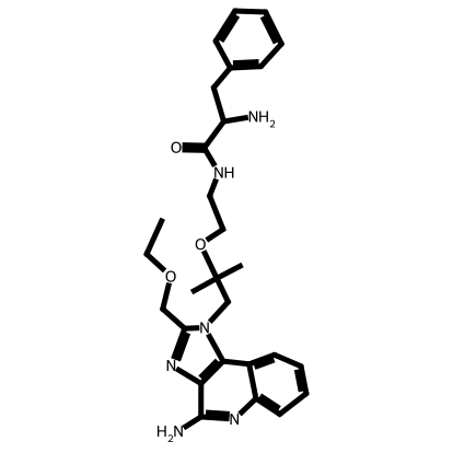 CCOCc1nc2c(N)nc3ccccc3c2n1CC(C)(C)OCCNC(=O)C(N)Cc1ccccc1